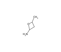 CC1CC(N)O1